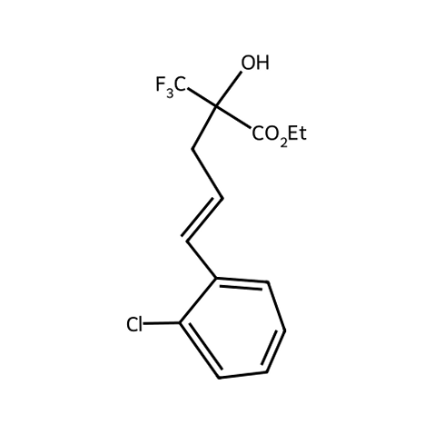 CCOC(=O)C(O)(CC=Cc1ccccc1Cl)C(F)(F)F